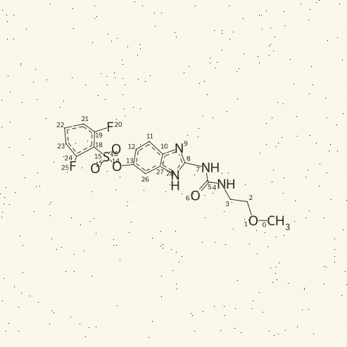 COCCNC(=O)Nc1nc2ccc(OS(=O)(=O)c3c(F)cccc3F)cc2[nH]1